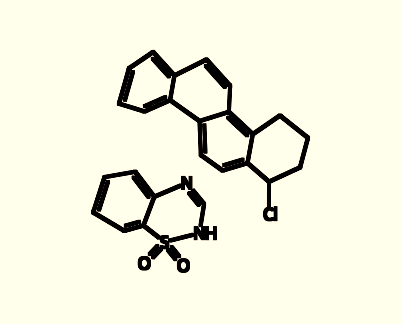 ClC1CCCc2c1ccc1c2ccc2ccccc21.O=S1(=O)NC=Nc2ccccc21